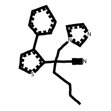 CCCCC(C#N)(Cn1ccnc1)c1sccc1-c1ccccc1